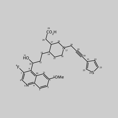 COc1ccc2ncc(F)c(C(O)CCC3CCN(CC#Cc4ccsc4)CC3CC(=O)O)c2c1